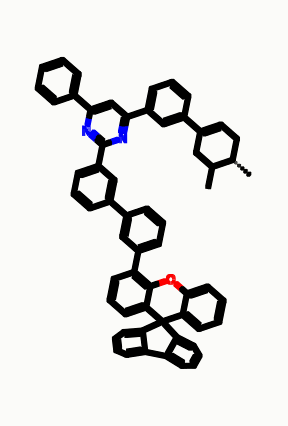 CC1CC(c2cccc(-c3cc(-c4ccccc4)nc(-c4cccc(-c5cccc(-c6cccc7c6Oc6ccccc6C76c7ccccc7-c7ccccc76)c5)c4)n3)c2)=CC[C@@H]1C